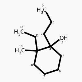 CCCC1(O)CCCCC1(C)CC